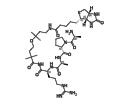 C[C@H](N)C(=O)N1CCC[C@H]1C(=O)N[C@@H](C)C(=O)N[C@@H](CCCNC(=N)N)C(=O)NC(=O)C(C)(C)CCOC(C)(C)CCNC(=O)CCCC[C@@H]1SC[C@@H]2NC(=O)N[C@@H]21